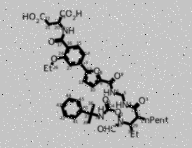 CCCCCC(C(=O)NCNC(=O)c1ccc(-c2ccc(C(=O)NC(CC(=O)O)C(=O)O)c(OCC)c2)o1)C(CC)N(C=O)OC(=O)NC(C)(C)c1ccccc1